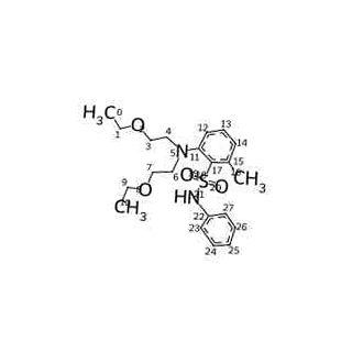 CCOCCN(CCOCC)c1cccc(C)c1S(=O)(=O)Nc1ccccc1